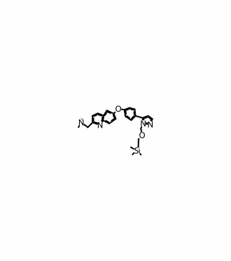 CN(C)Cc1ccc2cc(Oc3ccc(-c4ccnn4COCC[Si](C)(C)C)cc3)ccc2n1